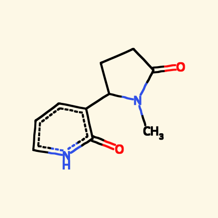 CN1C(=O)CCC1c1ccc[nH]c1=O